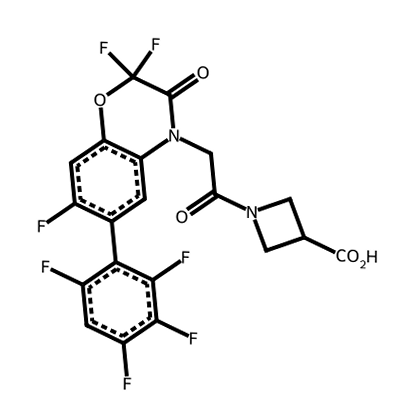 O=C(O)C1CN(C(=O)CN2C(=O)C(F)(F)Oc3cc(F)c(-c4c(F)cc(F)c(F)c4F)cc32)C1